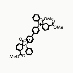 COC(=O)C1=CC=CC(C(=O)OC)(N(c2ccccc2)c2ccc(-c3ccc(N(c4ccccc4)C4(C(=O)OC)C=CC=C(C(=O)OC)C4)cc3)cc2)C1